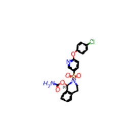 NC(=O)O[C@@H]1c2ccccc2CCN1S(=O)(=O)c1ccc(Oc2ccc(Cl)cc2)nc1